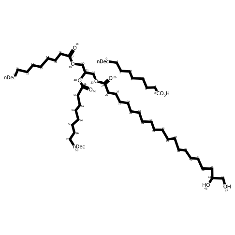 CCCCCCCCCCCCCCCCCC(=O)O.CCCCCCCCCCCCCCCCCC(=O)OCC(COC(=O)CCCCCCCCCCCCCCCCCCC(O)CO)OC(=O)CCCCCCCCCCCCCCCCC